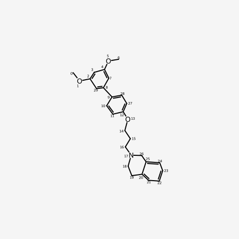 COc1cc(OC)cc(-c2ccc(OCCCN3CCc4ccccc4C3)cc2)c1